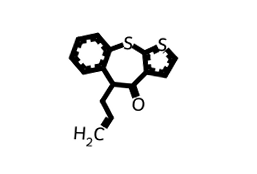 C=CCC1C(=O)c2ccsc2Sc2ccccc21